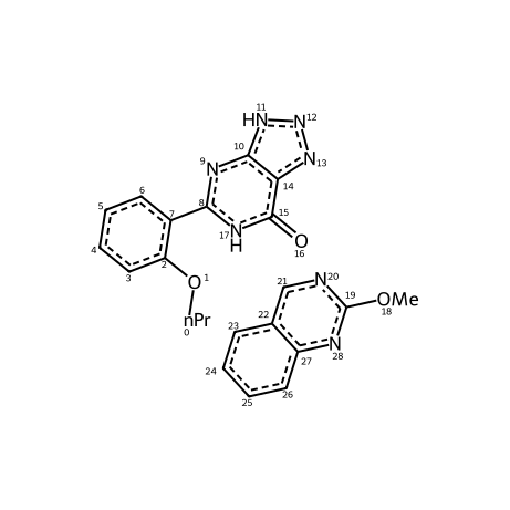 CCCOc1ccccc1-c1nc2[nH]nnc2c(=O)[nH]1.COc1ncc2ccccc2n1